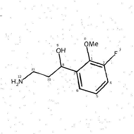 COc1c(F)cccc1C(O)CCN